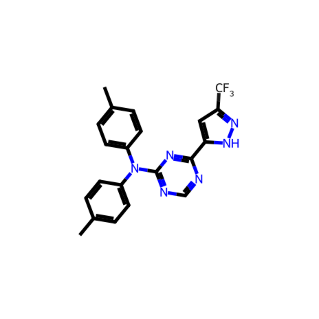 Cc1ccc(N(c2ccc(C)cc2)c2ncnc(-c3cc(C(F)(F)F)n[nH]3)n2)cc1